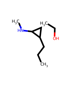 CCCC1CC1NC.CCO